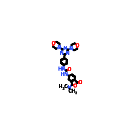 CN(C)C1OC(=O)c2ccc(NC(=O)Nc3ccc(-c4nc(N5CCOCC5)nc(N5CCOCC5)n4)cc3)cc21